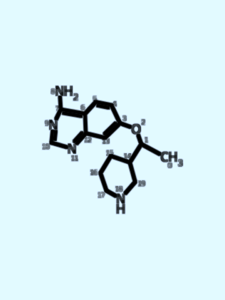 CC(Oc1ccc2c(N)ncnc2c1)C1CCCNC1